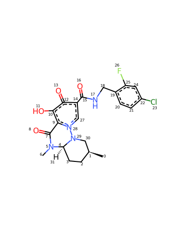 C[C@H]1CC[C@H]2N(C)C(=O)c3c(O)c(=O)c(C(=O)NCc4ccc(Cl)cc4F)cn3N2C1